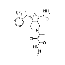 C=NNC(=O)/C(Cl)=C(\C)N1CCc2c(c(C(N)=O)nn2[C@@H](C)c2ccccc2C(F)(F)F)C1